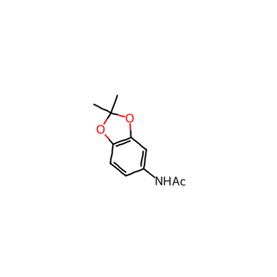 CC(=O)Nc1ccc2c(c1)OC(C)(C)O2